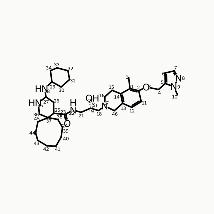 Cc1c(OCc2ccnn2C)ccc2c1CCN(C[C@@H](O)CNC(=O)C1CC(NC3CCCCC3)NCC13CCCCCCCC3)C2